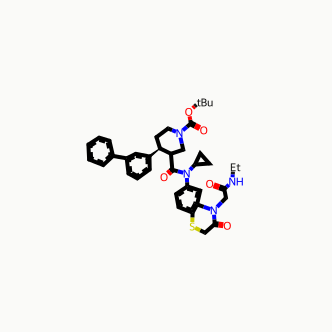 CCNC(=O)CN1C(=O)CSc2ccc(N(C(=O)C3CN(C(=O)OC(C)(C)C)CC[C@@H]3c3cccc(-c4ccccc4)c3)C3CC3)cc21